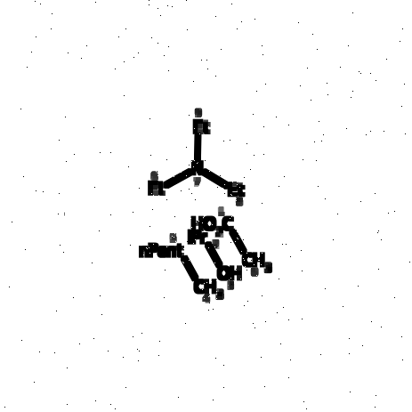 CC(=O)O.CC(C)O.CCCCCC.CCN(CC)CC